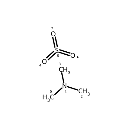 CN(C)C.O=S(=O)=O